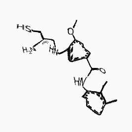 COc1ccc(C(=O)Nc2cccc(C)c2C)cc1NC[C@@H](N)CS